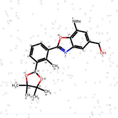 CNc1cc(CO)cc2nc(-c3cccc(B4OC(C)(C)C(C)(C)O4)c3C)oc12